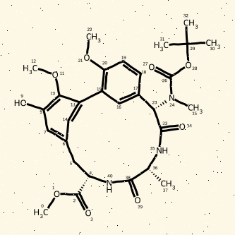 COC(=O)[C@@H]1Cc2cc(O)c(OC)c(c2)-c2cc(ccc2OC)[C@H](N(C)C(=O)OC(C)(C)C)C(=O)N[C@H](C)C(=O)N1